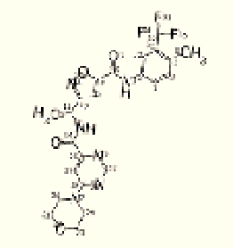 Cc1ccc(NC(=O)c2cc(C(C)NC(=O)c3cc(N4CCOCC4)ncn3)no2)cc1C(F)(F)F